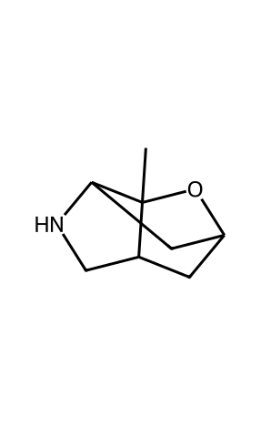 CC12OC3CC1CNC2C3